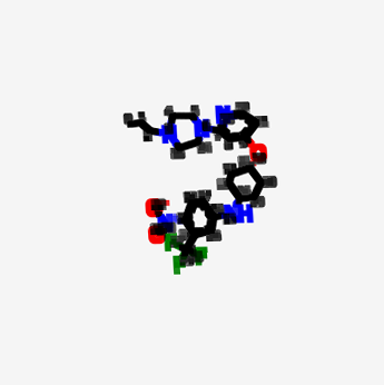 CCCN1CCN(c2cc(O[C@H]3CC[C@H](Nc4ccc([N+](=O)[O-])c(C(F)(F)F)c4)CC3)ccn2)CC1